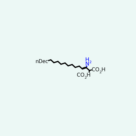 CCCCCCCCCCCCCCCCCCCC=C(N)C(C(=O)O)C(=O)O